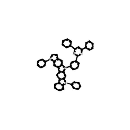 c1ccc(-c2cc(-c3ccccc3)nc(-c3cccc(-n4c5cc6ccn(-c7ccccc7)c6cc5c5cc6c7ccccc7n(-c7ccccc7)c6cc54)c3)n2)cc1